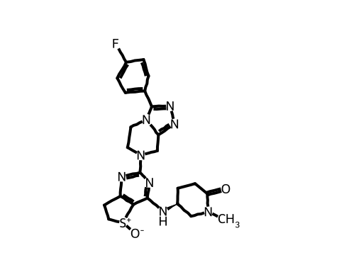 CN1C[C@@H](Nc2nc(N3CCn4c(nnc4-c4ccc(F)cc4)C3)nc3c2[S+]([O-])CC3)CCC1=O